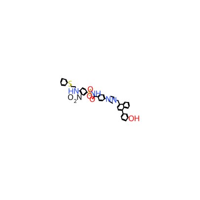 O=C(NS(=O)(=O)c1ccc(NCCSc2ccccc2)c([N+](=O)[O-])c1)c1ccc(N2CCN(Cc3ccc(-c4cccc(O)c4)c4ccccc34)CC2)cc1